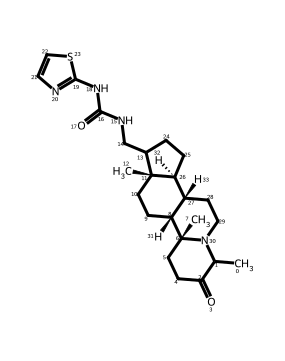 CC1C(=O)CC[C@]2(C)[C@@H]3CC[C@]4(C)C(CNC(=O)Nc5nccs5)CC[C@H]4[C@@H]3CCN12